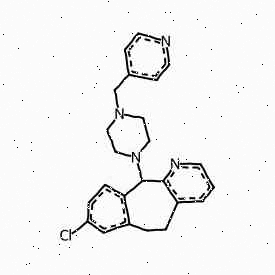 Clc1ccc2c(c1)CCc1cccnc1C2N1CCN(Cc2ccncc2)CC1